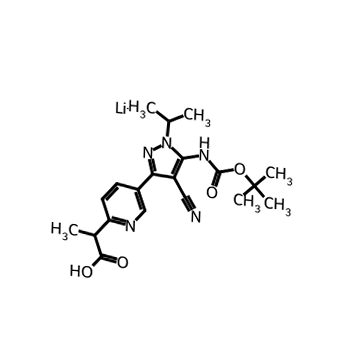 CC(C(=O)O)c1ccc(-c2nn(C(C)C)c(NC(=O)OC(C)(C)C)c2C#N)cn1.[Li]